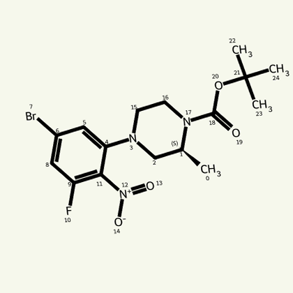 C[C@H]1CN(c2cc(Br)cc(F)c2[N+](=O)[O-])CCN1C(=O)OC(C)(C)C